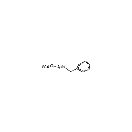 CO[CH]NCc1ccccc1